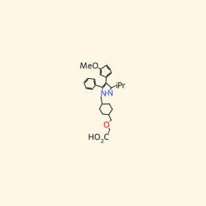 COc1cccc(-c2c(C(C)C)nn(CC3CCC(COCC(=O)O)CC3)c2-c2ccccc2)c1